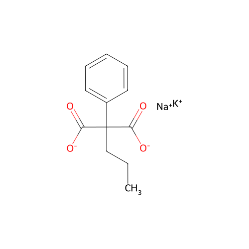 CCCC(C(=O)[O-])(C(=O)[O-])c1ccccc1.[K+].[Na+]